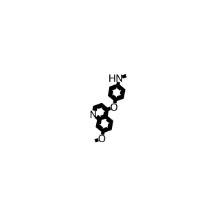 CNc1ccc(Oc2ccnc3cc(OC)ccc23)cc1